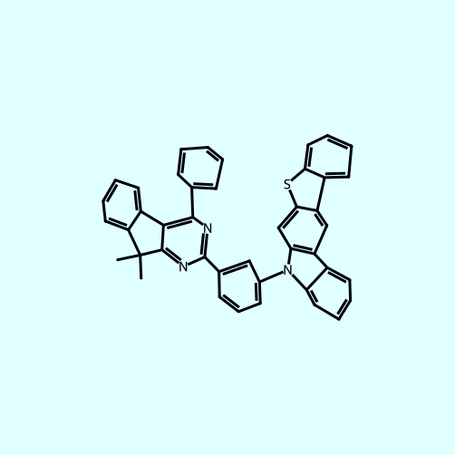 CC1(C)c2ccccc2-c2c(-c3ccccc3)nc(-c3cccc(-n4c5ccccc5c5cc6c(cc54)sc4ccccc46)c3)nc21